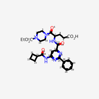 CCOC(=O)N1CCN(C(=O)C(CCC(=O)O)NC(=O)c2cc(NC(=O)C3CCC3)nc(-c3ccccc3)n2)CC1